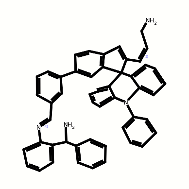 NC/C=C\C1=Cc2ccc(-c3cccc(/C=N/c4ccccc4C(N)c4ccccc4)c3)cc2C12c1ccccc1N(c1ccccc1)c1ccccc12